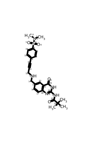 CN(C)S(=O)(=O)c1ccc(C#CCNCc2ccc3nc(NC(=O)C(C)(C)C)[nH]c(=O)c3c2)cc1